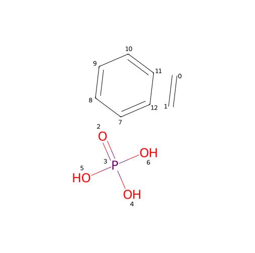 C=C.O=P(O)(O)O.c1ccccc1